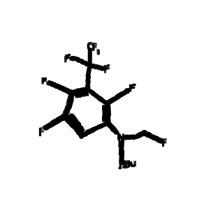 CCCCN(CF)c1cc(F)c(F)c(C(F)(F)C(F)(F)F)c1F